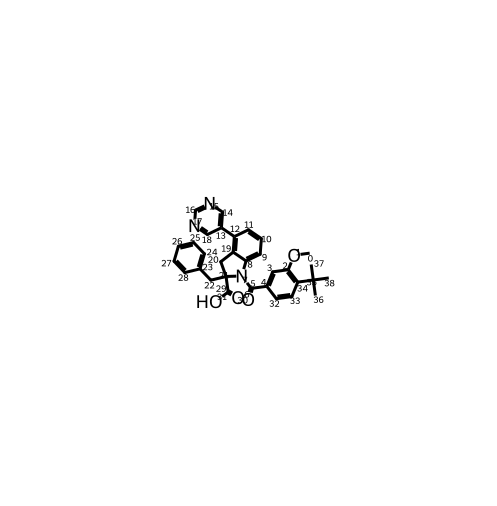 COc1cc(C(=O)N2c3cccc(-c4cncnc4)c3CC2(Cc2ccccc2)C(=O)O)ccc1C(C)(C)C